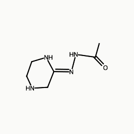 CC(=O)N/N=C1/CNCCN1